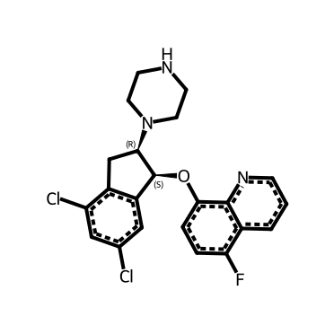 Fc1ccc(O[C@H]2c3cc(Cl)cc(Cl)c3C[C@H]2N2CCNCC2)c2ncccc12